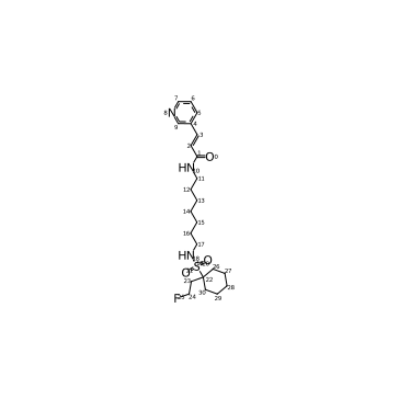 O=C(/C=C/c1cccnc1)NCCCCCCCNS(=O)(=O)C1(CCF)CCCCC1